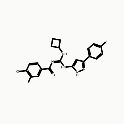 O=C(/N=C(\Nc1cc(-c2ccc(F)cc2)n[nH]1)NC1CCC1)c1ccc(Cl)c(F)c1